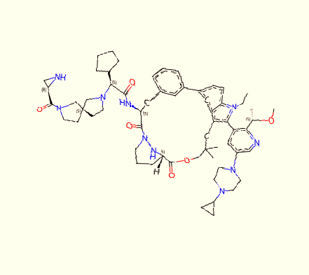 CCn1c(-c2cc(N3CCN(C4CC4)CC3)cnc2[C@H](C)OC)c2c3cc(ccc31)-c1cccc(c1)C[C@H](NC(=O)[C@H](C1CCCC1)N1CC[C@]3(CCN(C(=O)[C@H]4CN4)C3)C1)C(=O)N1CCC[C@H](N1)C(=O)OCC(C)(C)C2